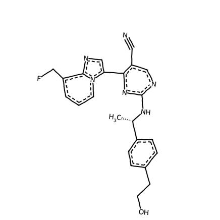 C[C@H](Nc1ncc(C#N)c(-c2cnc3c(CF)cccn23)n1)c1ccc(CCO)cc1